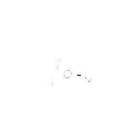 CC12CC(c3ccc(C#CC=N)cc3)C3=C4CCC(=O)C=C4CCC3C1CCC2O